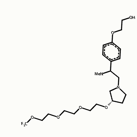 CNC(CN1CC[C@H](OCCOCCOCCOC(F)(F)F)C1)c1ccc(OCCO)cc1